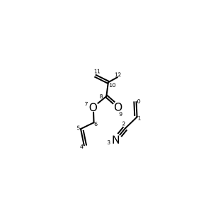 C=CC#N.C=CCOC(=O)C(=C)C